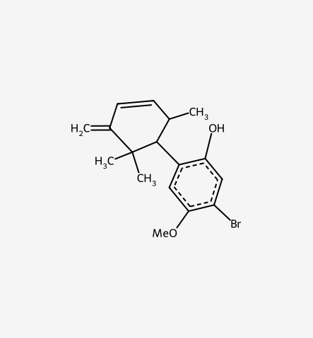 C=C1C=CC(C)C(c2cc(OC)c(Br)cc2O)C1(C)C